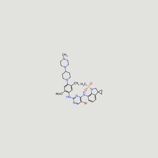 COc1cc(N2CCC(N3CCN(C)CC3)CC2)c(C)cc1Nc1ncc(Br)c(Nc2cccc3c2N(S(C)(=O)=O)CC32CC2)n1